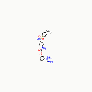 Cc1ccc(S(=O)(=O)Nc2ccc(NC(=O)COc3cccc(N(N)C=N)c3)cc2)cc1